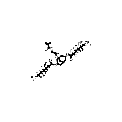 C=C(C)C(=O)OCC(=O)OC12CC(CC(OC(=O)C(F)(F)C(F)(F)C(F)(F)C(F)(F)C(F)(F)C(F)(F)F)C1)CC(OC(=O)C(F)(F)C(F)(F)C(F)(F)C(F)(F)C(F)(F)C(F)(F)F)C2